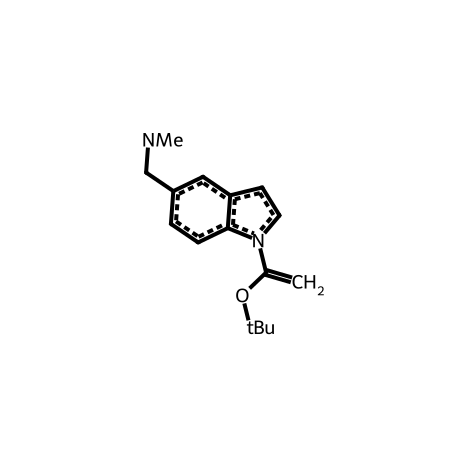 C=C(OC(C)(C)C)n1ccc2cc(CNC)ccc21